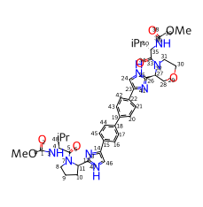 COC(=O)N[C@H](C(=O)N1CCCC1c1nc(-c2ccc(-c3ccc(-c4c[nH]c([C@@H]5COCCN5C(=O)[C@@H](NC(=O)OC)C(C)C)n4)cc3)cc2)c[nH]1)C(C)C